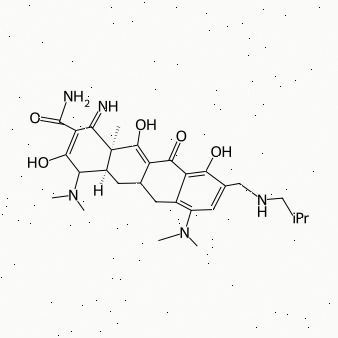 CC(C)CNCc1cc(N(C)C)c2c(c1O)C(=O)C1=C(O)[C@]3(C)C(=N)C(C(N)=O)=C(O)C(N(C)C)[C@@H]3CC1C2